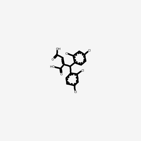 O=C(O)/C=C(\C(=O)O)C(c1ccc(Cl)cc1Cl)c1ccc(Cl)cc1Cl